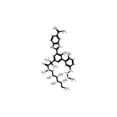 CC[C@@H](O)[C@H](O)[C@@H](O)[C@H](O)CN(C)C(=O)C(C)(C)c1cc(-c2nc3cc(C(=N)N)ccc3[nH]2)c(O)c(-c2cc(OOSN)ccc2O)c1